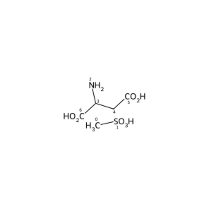 CS(=O)(=O)O.NC(CC(=O)O)C(=O)O